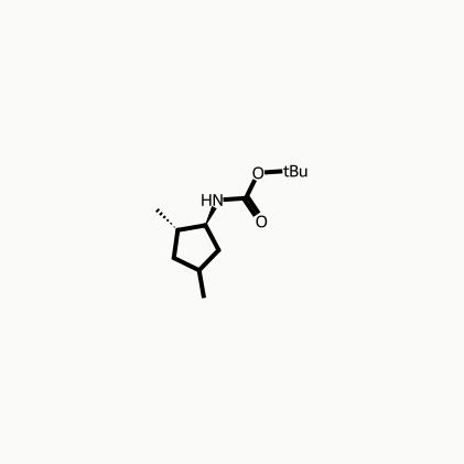 CC1C[C@H](NC(=O)OC(C)(C)C)[C@@H](C)C1